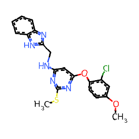 COc1ccc(Oc2cc(NCc3nc4ccccc4[nH]3)nc(SC)n2)c(Cl)c1